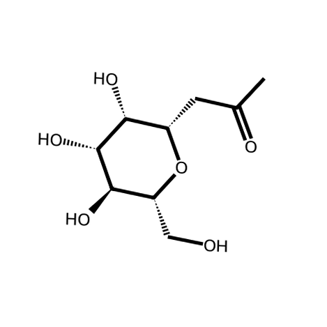 CC(=O)C[C@@H]1O[C@H](CO)[C@@H](O)[C@H](O)[C@@H]1O